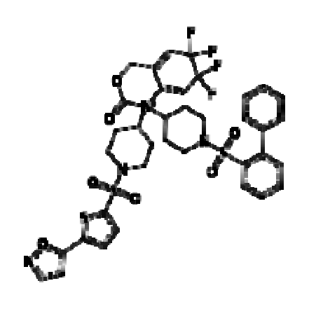 O=C1OCC2=CC(F)(F)C(F)(F)C=C2[N+]1(C1CCN(S(=O)(=O)c2ccc(-c3ccno3)s2)CC1)C1CCN(S(=O)(=O)c2ccccc2-c2ccccc2)CC1